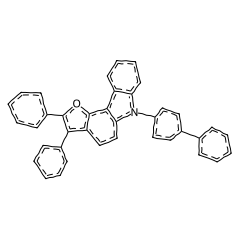 c1ccc(-c2ccc(-n3c4ccccc4c4c5oc(-c6ccccc6)c(-c6ccccc6)c5ccc43)cc2)cc1